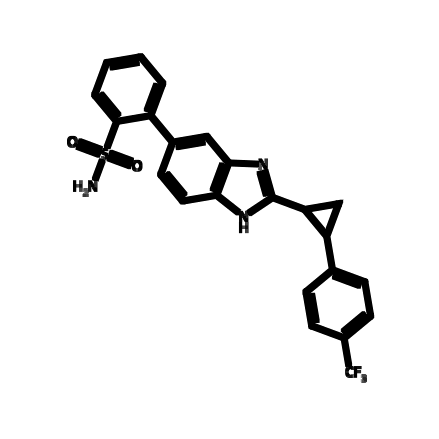 NS(=O)(=O)c1ccccc1-c1ccc2[nH]c(C3CC3c3ccc(C(F)(F)F)cc3)nc2c1